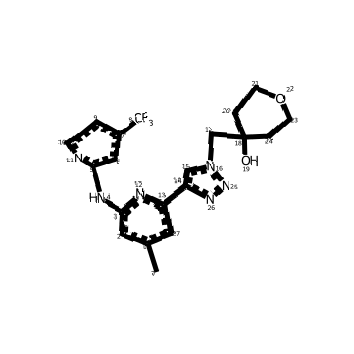 Cc1cc(Nc2cc(C(F)(F)F)ccn2)nc(-c2cn(CC3(O)CCOCC3)nn2)c1